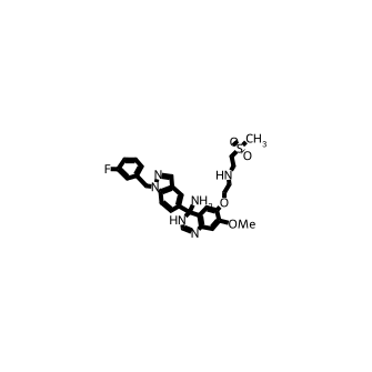 COc1cc2c(cc1OCCNCCS(C)(=O)=O)C(N)(c1ccc3c(cnn3Cc3cccc(F)c3)c1)NC=N2